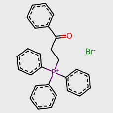 O=C(CC[P+](c1ccccc1)(c1ccccc1)c1ccccc1)c1ccccc1.[Br-]